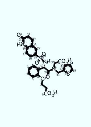 O=C(O)CCOc1ccccc1[C@H](NS(=O)(=O)c1ccc2[nH]c(=O)ccc2c1)C(=O)N(CC(=O)O)Cc1cccs1